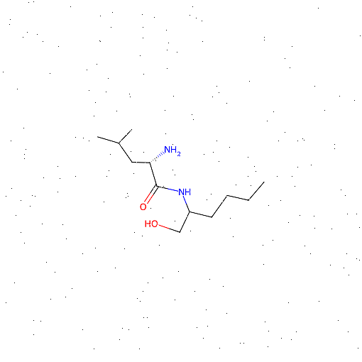 CCCCC(CO)NC(=O)[C@@H](N)CC(C)C